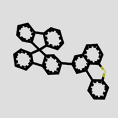 c1ccc2c(c1)Sc1cccc3cc(-c4ccc5c(c4)C4(c6ccccc6-c6ccccc64)c4ccccc4-5)cc-2c13